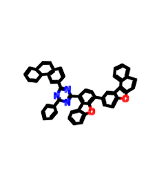 C1=CC2C=Cc3ccc(-c4nc(-c5ccccc5)nc(-c5ccc(-c6ccc7oc8ccc9ccccc9c8c7c6)c6oc7ccccc7c56)n4)cc3C2C=C1